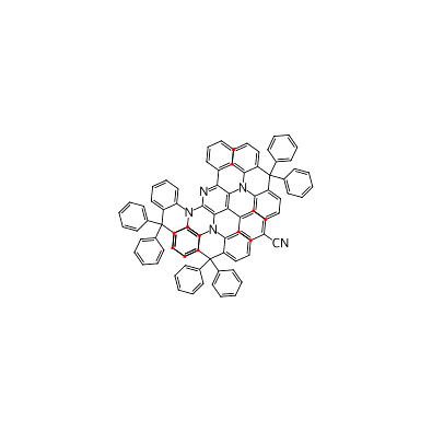 N#Cc1ccc(-c2c(N3c4ccccc4C(c4ccccc4)(c4ccccc4)c4ccccc43)c(-c3ccccc3)nc(N3c4ccccc4C(c4ccccc4)(c4ccccc4)c4ccccc43)c2N2c3ccccc3C(c3ccccc3)(c3ccccc3)c3ccccc32)cc1